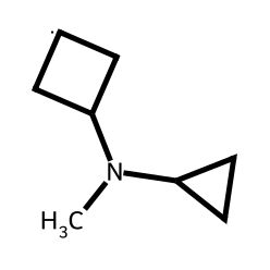 CN(C1C[CH]C1)C1CC1